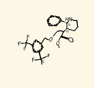 COC(=O)C(COCc1cc(C(F)(F)F)cc(C(F)(F)F)c1)[C@@H]1CCCN[C@@H]1c1ccccc1